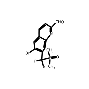 CP(C)(=O)C(F)(F)c1cc2nc(C=O)ccc2cc1Br